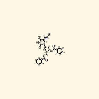 O=C(OC[C@H]1O[C@@H](n2cc(/C=C/Br)c(=O)[nH]c2=O)C[C@@H]1OC(=O)c1ccccc1)c1ccccc1